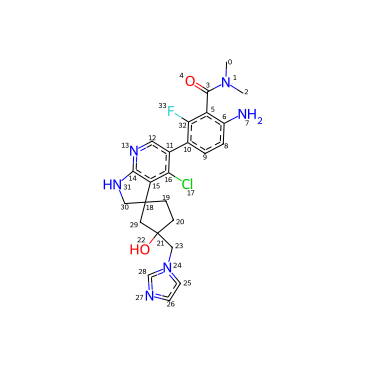 CN(C)C(=O)c1c(N)ccc(-c2cnc3c(c2Cl)C2(CCC(O)(Cn4ccnc4)C2)CN3)c1F